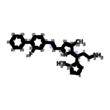 Bn1cccc1/C(CCN)=C1N=C(/C=C/c2ccc(-c3ccccc3)c(F)c2)C=C\1C